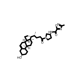 Cc1noc(C(=O)N[C@H]2CCN(C(=O)CC[C@@H](C)[C@H]3CC[C@H]4[C@@H]5CC=C6C[C@@H](O)CC[C@]6(C)[C@H]5CC[C@]34C)C2)n1